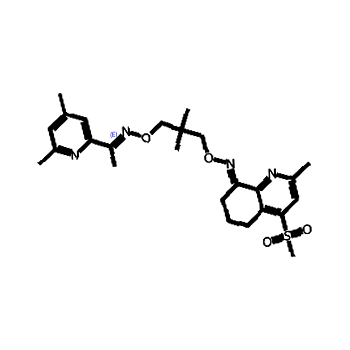 C/C(=N\OCC(C)(C)CON=C1CCCc2c(S(C)(=O)=O)cc(C)nc21)c1cc(C)cc(C)n1